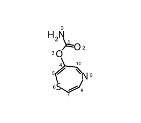 NC(=O)OC1=CSC=CN=C1